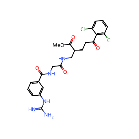 COC(=O)[C@@H](CCC(=O)c1c(Cl)cccc1Cl)CNC(=O)CNC(=O)c1cccc(NC(=N)N)c1